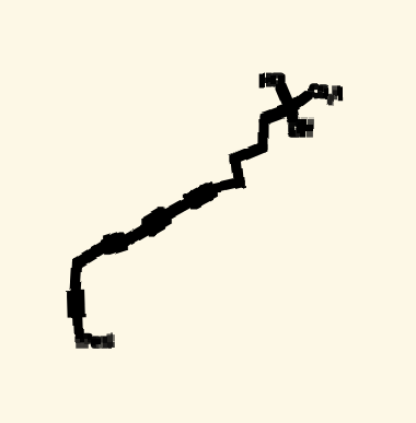 CCCCCC#CCC#CC#CC#CCCCCC(O)(O)C(=O)O